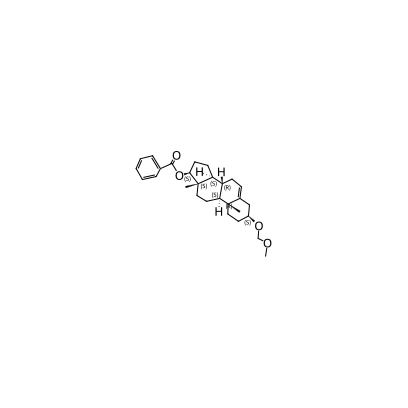 COCO[C@H]1CC[C@@]2(C)C(=CC[C@H]3[C@@H]4CC[C@H](OC(=O)c5ccccc5)[C@@]4(C)CC[C@@H]32)C1